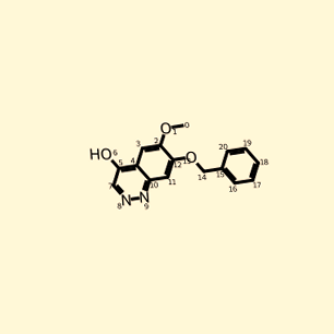 COc1cc2c(O)cnnc2cc1OCc1ccccc1